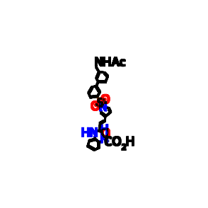 CC(=O)NCc1cccc(-c2cccc(S(=O)(=O)n3ccc(C=CC(=O)Nc4ccccc4NC(=O)O)c3)c2)c1